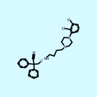 N#CC(CCNCCCCN1CCN(c2cccc(Cl)c2Cl)CC1)(c1ccccc1)c1ccccc1